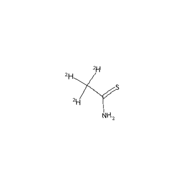 [2H]C([2H])([2H])C(N)=S